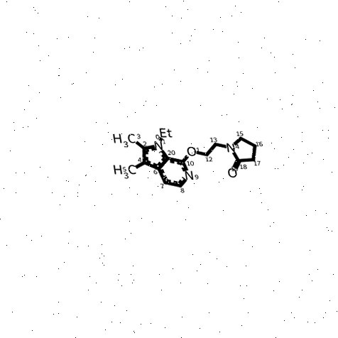 CCn1c(C)c(C)c2ccnc(OCCN3CCCC3=O)c21